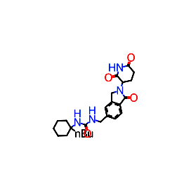 CCCCC1(NC(=O)NCc2ccc3c(c2)CN(C2CCC(=O)NC2=O)C3=O)CCCCC1